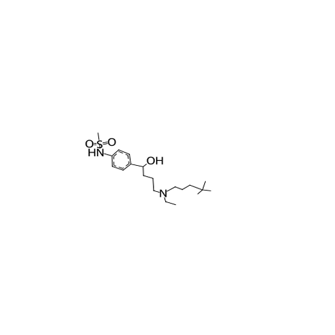 CCN(CCCC(O)c1ccc(NS(C)(=O)=O)cc1)CCCC(C)(C)C